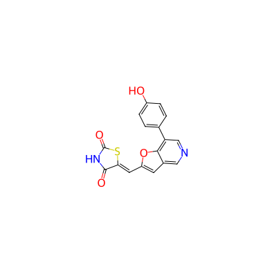 O=C1NC(=O)C(=Cc2cc3cncc(-c4ccc(O)cc4)c3o2)S1